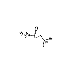 CC[C@@H](I)CCC(N)=O